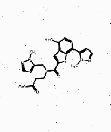 CNC(=O)CCN(Cc1ccnn1C)C(=O)c1cc2c(OC)ccc(-c3ccnn3C)c2s1